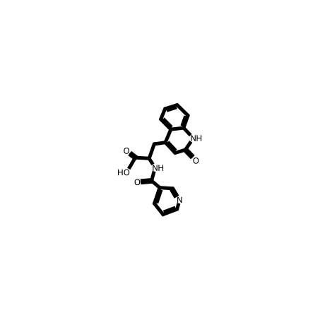 O=C(NC(Cc1cc(=O)[nH]c2ccccc12)C(=O)O)c1cccnc1